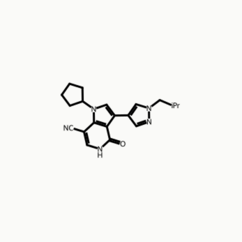 CC(C)Cn1cc(-c2cn(C3CCCC3)c3c(C#N)c[nH]c(=O)c23)cn1